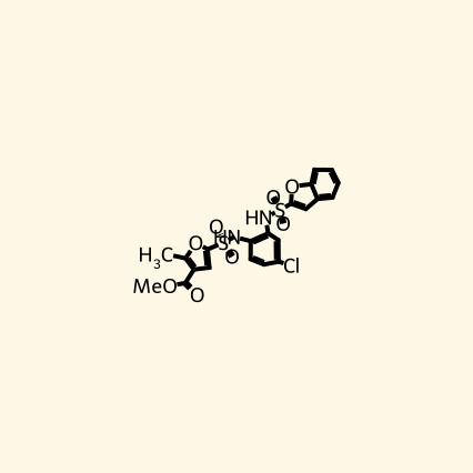 COC(=O)c1cc(S(=O)(=O)Nc2ccc(Cl)cc2NS(=O)(=O)c2cc3ccccc3o2)oc1C